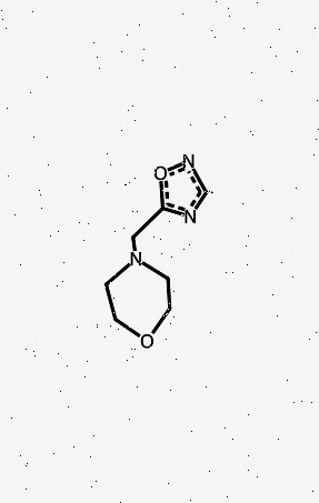 [c]1noc(CN2CCOCC2)n1